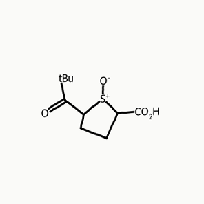 CC(C)(C)C(=O)C1CCC(C(=O)O)[S+]1[O-]